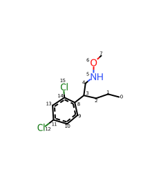 CCCC(CNOC)c1ccc(Cl)cc1Cl